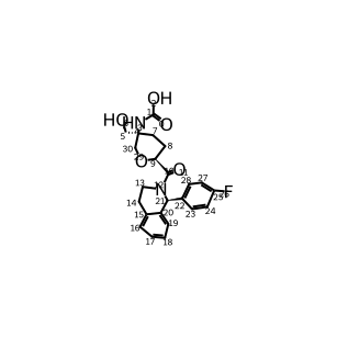 O=C(O)N[C@@]1(CO)CC[C@@H](C(=O)N2CCc3ccccc3[C@@H]2c2ccc(F)cc2)OC1